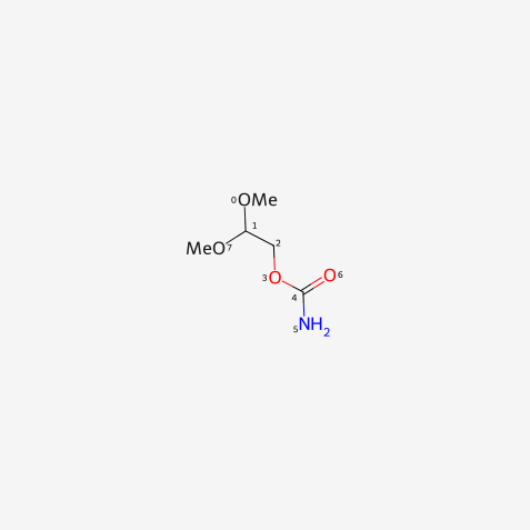 COC(COC(N)=O)OC